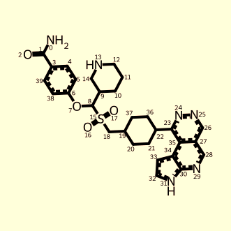 NC(=O)c1ccc(OC(C2CCCNC2)S(=O)(=O)CC2CCC(c3nncc4cnc5[nH]ccc5c34)CC2)cc1